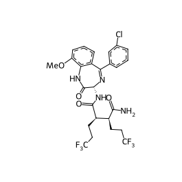 COc1cccc2c1NC(=O)[C@@H](NC(=O)[C@H](CCC(F)(F)F)[C@H](CCC(F)(F)F)C(N)=O)N=C2c1cccc(Cl)c1